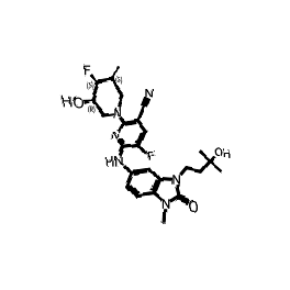 C[C@H]1CN(c2nc(Nc3ccc4c(c3)n(CCC(C)(C)O)c(=O)n4C)c(F)cc2C#N)C[C@@H](O)[C@H]1F